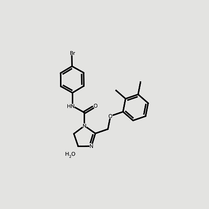 Cc1cccc(OCC2=NCCN2C(=O)Nc2ccc(Br)cc2)c1C.O